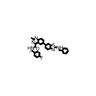 Cc1nc(C(=O)N[C@@H](C)c2ccc(F)cc2)c2cc(-c3ccc4nc(NCc5ccccc5)sc4c3)ccc2n1